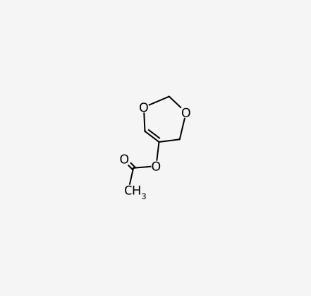 CC(=O)OC1=COCOC1